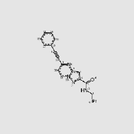 CC(C)CNC(=O)c1cc2nc(C#Cc3ccccc3)ccn2n1